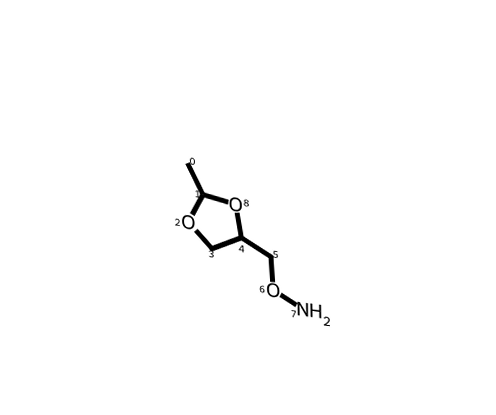 CC1OCC(CON)O1